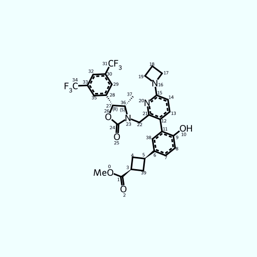 COC(=O)[C@H]1C[C@@H](c2ccc(O)c(-c3ccc(N4CCC4)nc3CN3C(=O)O[C@H](c4cc(C(F)(F)F)cc(C(F)(F)F)c4)[C@@H]3C)c2)C1